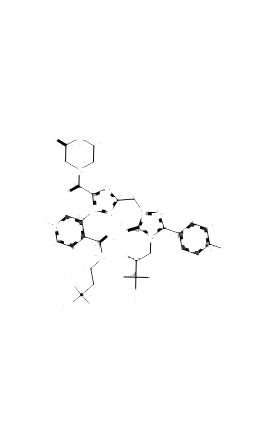 O=C1CN(C(=O)c2nc(Cn3nc(-c4ccc(Cl)cc4)n(CC(O)C(F)(F)F)c3=O)nn2-c2cnccc2C(=O)NCCC(F)(F)F)CCN1